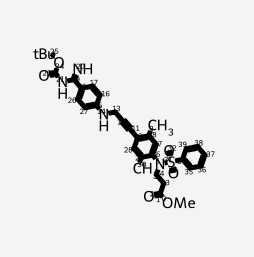 COC(=O)CCN(c1cc(C)c(C#CCNc2ccc(C(=N)NC(=O)OC(C)(C)C)cc2)cc1C)S(=O)(=O)c1ccccc1